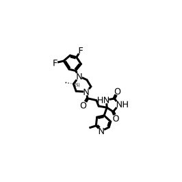 Cc1cc(C2(CCC(=O)N3CCN(c4cc(F)cc(F)c4)[C@@H](C)C3)NC(=O)NC2=O)ccn1